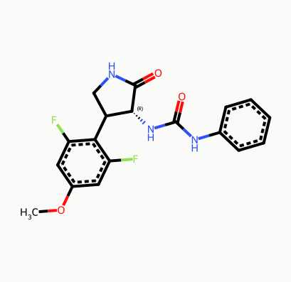 COc1cc(F)c(C2CNC(=O)[C@@H]2NC(=O)Nc2ccccc2)c(F)c1